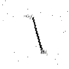 NNCCCCCCCCCCCCCCCCCCCCCCCCC(=O)O